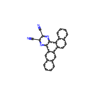 N#Cc1nc2c3cc4ccccc4cc3c3ccc4ccccc4c3c2nc1C#N